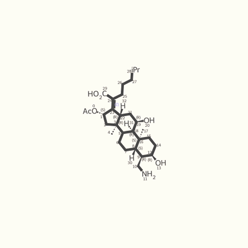 CC(=O)O[C@H]1C[C@]2(C)C3CC[C@H]4[C@H](CN)[C@H](O)CC[C@]4(C)[C@@H]3[C@H](O)C[C@H]2/C1=C(\CCCC(C)C)C(=O)O